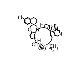 C[C@@H]1[C@@H](C)C/C=C/[C@@](O)(c2ccncc2F)[C@@H]2CC[C@H]2CN2C[C@@]3(CCCc4cc(Cl)ccc43)COc3ccc(cc32)C(=O)NS1(=O)=O